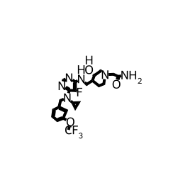 NC(=O)CN1CCC(CNc2ncnc(N(Cc3cccc(OC(F)(F)F)c3)C3CC3)c2F)C(O)C1